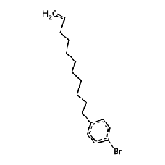 C=CCCCCCCCCCc1ccc(Br)cc1